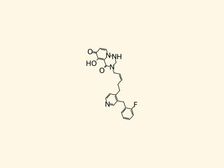 O=C1c2c(O)c(=O)ccn2NCN1C/C=C\CCc1ccncc1Cc1ccccc1F